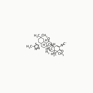 [C-]#[N+]C1=C[C@]2(C)[C@H]3CC(=O)[C@@H]4[C@@H]5CC(C)(C)CC[C@]5(c5nnc(C)s5)CC[C@@]4(C)[C@]3(C)CC[C@H]2C(C)(C)C1=O